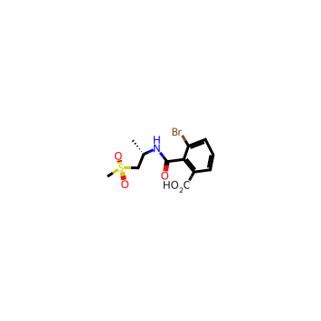 C[C@@H](CS(C)(=O)=O)NC(=O)c1c(Br)cccc1C(=O)O